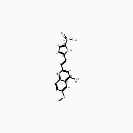 COc1ccc2nc(C=Cc3ccc([N+](=O)[O-])o3)cc(O)c2c1